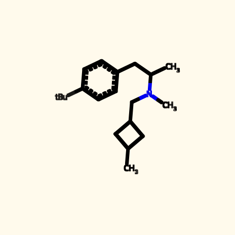 CC1CC(CN(C)C(C)Cc2ccc(C(C)(C)C)cc2)C1